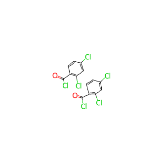 O=C(Cl)c1ccc(Cl)cc1Cl.O=C(Cl)c1ccc(Cl)cc1Cl